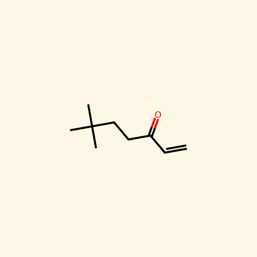 C=CC(=O)CCC(C)(C)C